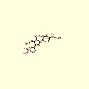 COC1C(OC(C)C)C(C(C)OP(=O)(O)O)OC1N(C)/C=C\C(=O)NC=O